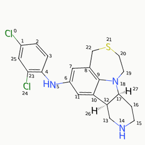 Clc1ccc(Nc2cc3c4c(c2)[C@@H]2CNCC[C@@H]2N4CCSC3)c(Cl)c1